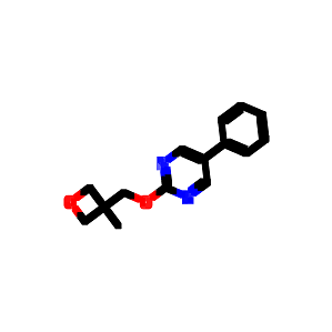 CC1(COc2ncc(-c3ccccc3)cn2)COC1